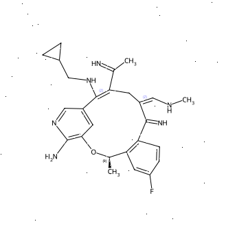 CN/C=C1/C/C(C(C)=N)=C(/NCC2CC2)c2cnc(N)c(c2)O[C@H](C)c2cc(F)ccc2C1=N